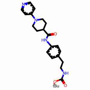 CC(C)(C)OC(=O)NCCc1ccc(NC(=O)C2CCN(c3ccncc3)CC2)cc1